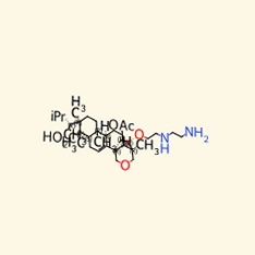 CC(=O)O[C@@H]1C[C@@]23COC[C@@](C)([C@@H]2CC[C@H]2C3=CC[C@@]3(C)[C@H](C(=O)O)[C@@](C)([C@H](C)C(C)C)CC[C@]23C)[C@H]1OCCNCCN